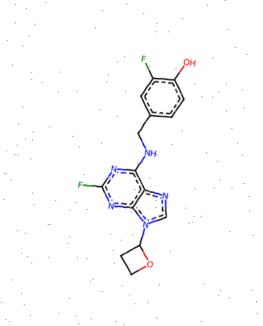 Oc1ccc(CNc2nc(F)nc3c2ncn3C2CCO2)cc1F